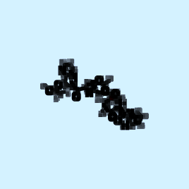 COC(=O)[C@@H](C)C[C@H](Cc1ncccn1)NC(=O)c1csc([C@@H](C[C@H](C(C)C)N(C)C(=O)[C@@H](NC(=O)[C@H]2CC3CCN2CC3)C2COC2)OC(C)=O)n1